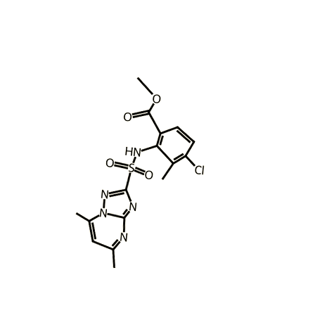 COC(=O)c1ccc(Cl)c(C)c1NS(=O)(=O)c1nc2nc(C)cc(C)n2n1